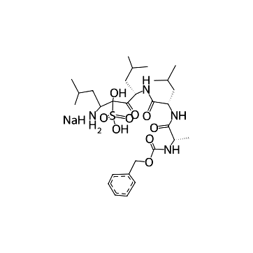 CC(C)CC(N)C(O)(C(=O)[C@H](CC(C)C)NC(=O)[C@H](CC(C)C)NC(=O)[C@H](C)NC(=O)OCc1ccccc1)S(=O)(=O)O.[NaH]